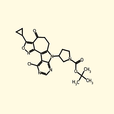 CC(C)(C)OC(=O)N1CCC(n2c3c(c4c(Cl)ncnc42)-c2noc(C4CC4)c2C(=O)CC3)C1